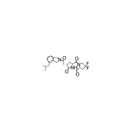 CC(C)Cc1cccc2c1CN(C(=O)C[C@@H]1C[C@@H](C(=O)N3CC(F)(F)C[C@H]3C=O)NC1=O)C2